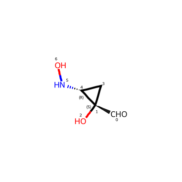 O=C[C@]1(O)C[C@H]1NO